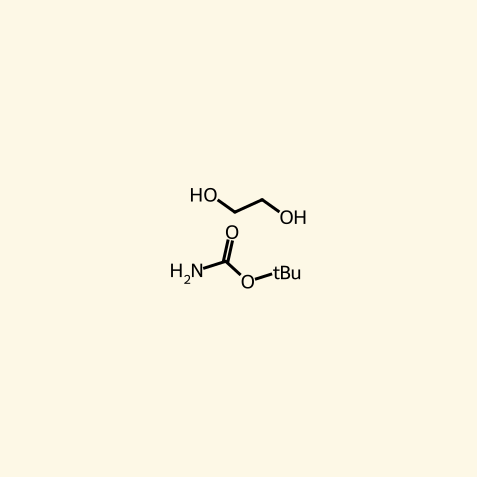 CC(C)(C)OC(N)=O.OCCO